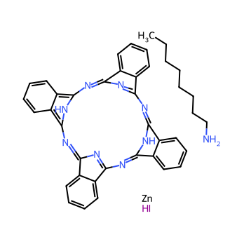 CCCCCCCCN.I.[Zn].c1ccc2c(c1)-c1nc-2nc2[nH]c(nc3nc(nc4[nH]c(n1)c1ccccc41)-c1ccccc1-3)c1ccccc21